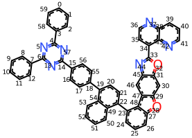 c1ccc(-c2nc(-c3ccccc3)nc(-c3ccc(-c4ccc(-c5cccc6oc7cc8oc(-c9ccnc%10cccnc9%10)nc8cc7c56)c5ccccc45)cc3)n2)cc1